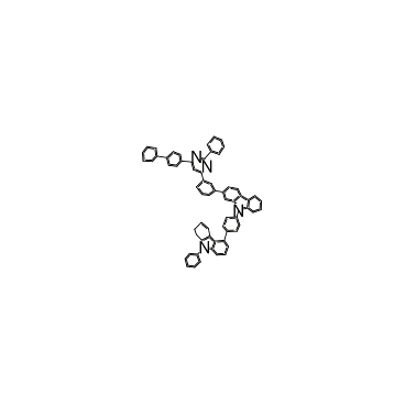 C1=Cc2c(n(-c3ccccc3)c3cccc(-c4ccc(-n5c6ccccc6c6ccc(-c7cccc(-c8cc(-c9ccc(-c%10ccccc%10)cc9)nc(-c9ccccc9)n8)c7)cc65)cc4)c23)CC1